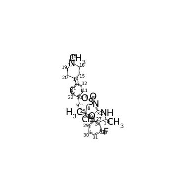 C[C@H](NC1=NS(=O)(=O)[C@@H](Cc2ccc(C3CCN(C)CC3)cc2)C(C)(C)O1)c1ccccc1F